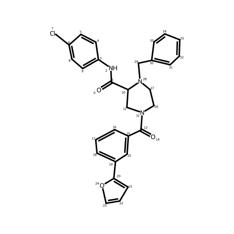 O=C(Nc1ccc(Cl)cc1)C1CN(C(=O)c2cccc(-c3ccco3)c2)CCN1Cc1ccccc1